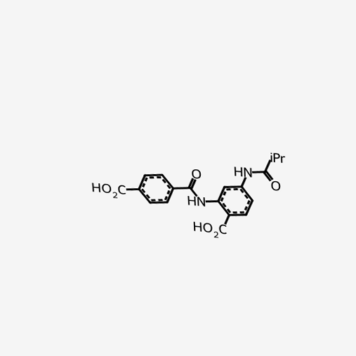 CC(C)C(=O)Nc1ccc(C(=O)O)c(NC(=O)c2ccc(C(=O)O)cc2)c1